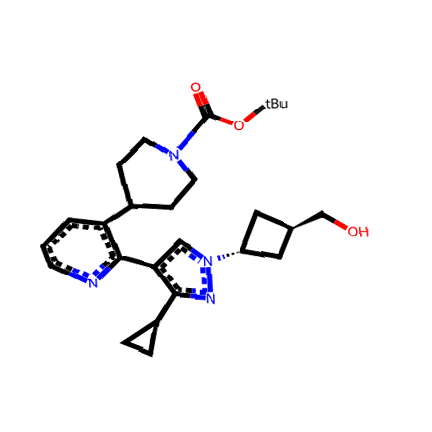 CC(C)(C)OC(=O)N1CCC(c2cccnc2-c2cn([C@H]3C[C@H](CO)C3)nc2C2CC2)CC1